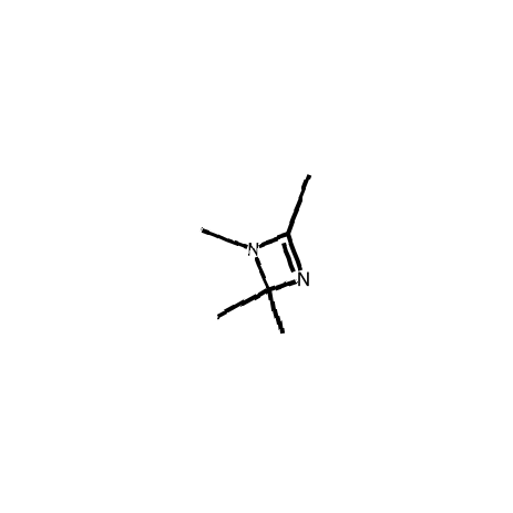 CC1=NC(C)(C)N1C